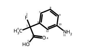 CC(F)(C(=O)O)c1cccc(N)c1